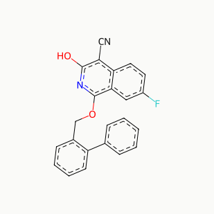 N#Cc1c(O)nc(OCc2ccccc2-c2ccccc2)c2cc(F)ccc12